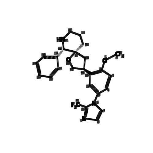 FC(F)(F)Oc1ccc(-n2ccnc2C(F)(F)F)cc1[C@H]1CO[C@]2(CCCN[C@H]2c2ccccc2)C1